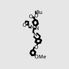 COc1cccc(COc2ccc3c(c2)CN(Cc2nc4ccc(C(=O)OC(C)(C)C)cc4n2C[C@@H]2CCO2)CC3)c1